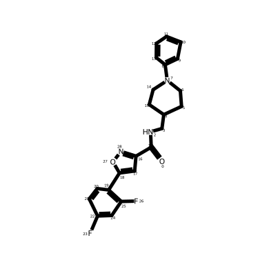 O=C(NCC1CCN(c2ccccc2)CC1)c1cc(-c2ccc(F)cc2F)on1